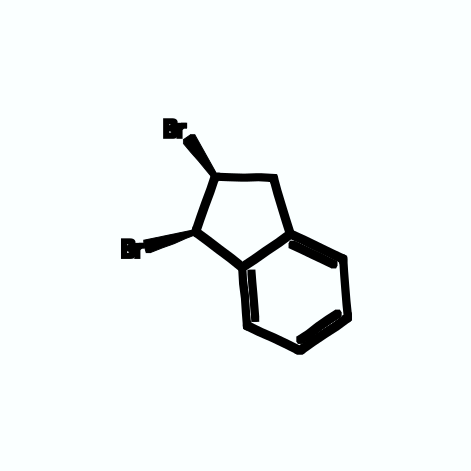 Br[C@@H]1c2ccccc2C[C@@H]1Br